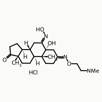 CNCCON=C1CC[C@]2(C)[C@H]3CC[C@]4(C)C(=O)CC[C@H]4[C@@H]3C/C(=N\O)[C@@]2(O)C1.Cl